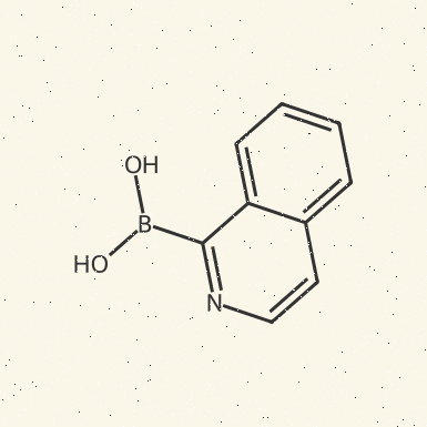 OB(O)c1nccc2ccccc12